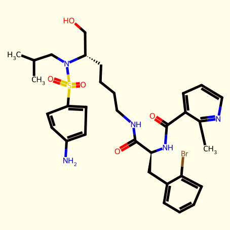 Cc1ncccc1C(=O)N[C@@H](Cc1ccccc1Br)C(=O)NCCCC[C@@H](CO)N(CC(C)C)S(=O)(=O)c1ccc(N)cc1